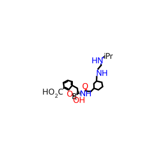 CC(C)NCCNCC1CCCC(CC(=O)N[C@H]2Cc3cccc(C(=O)O)c3OB2O)C1